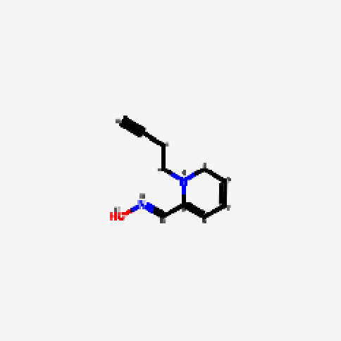 C#CCCN1CC=CC=C1C=NO